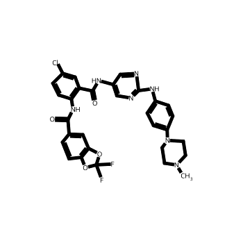 CN1CCN(c2ccc(Nc3ncc(NC(=O)c4cc(Cl)ccc4NC(=O)c4ccc5c(c4)OC(F)(F)O5)cn3)cc2)CC1